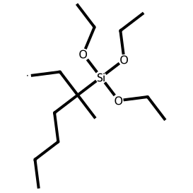 [CH2]CC(C)(CCCC)[Si](OCC)(OCC)OCC